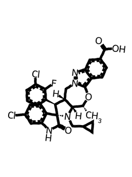 C[C@H]1Oc2c3ccc(C(=O)O)cc3nn2C[C@@H]2[C@H]1N(CC1CC1)[C@@]1(C(=O)Nc3cc(Cl)ccc31)[C@H]2c1cccc(Cl)c1F